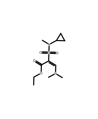 CCOC(=O)C(=CN(C)C)S(=O)(=O)N(C)C1CC1